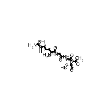 CC(=O)N(C(=O)CNC(=O)CNC(=O)[C@@H](N)CCCNC(=N)N)[C@H]([C]=O)CO